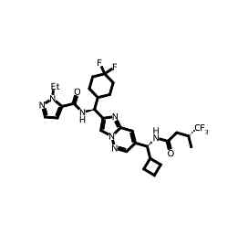 CCn1nccc1C(=O)N[C@H](c1cn2ncc([C@H](NC(=O)C[C@@H](C)C(F)(F)F)C3CCC3)cc2n1)C1CCC(F)(F)CC1